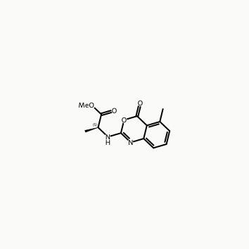 COC(=O)[C@H](C)Nc1nc2cccc(C)c2c(=O)o1